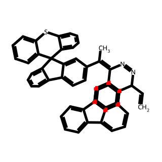 C=CC(/N=N\C(=C(/C)c1ccc2c(c1)C1(c3ccccc3Sc3ccccc31)c1ccccc1-2)c1ccccc1)c1ccc2c3c(cccc13)-c1ccccc1-2